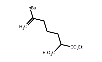 C=C(CCCC)CCCC(C(=O)OCC)C(=O)OCC